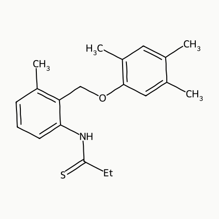 CCC(=S)Nc1cccc(C)c1COc1cc(C)c(C)cc1C